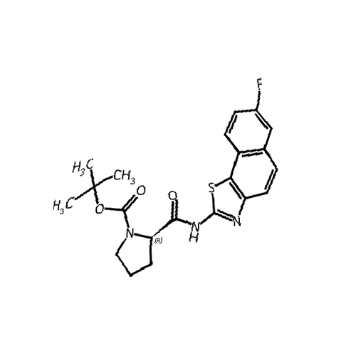 CC(C)(C)OC(=O)N1CCC[C@@H]1C(=O)Nc1nc2ccc3cc(F)ccc3c2s1